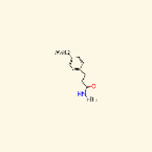 COc1ccc(CCC(=O)NC(C)(C)C)cc1